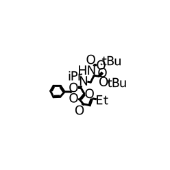 CCc1cc(=O)c(OCc2ccccc2)c(C(=O)N(CC(NC(=O)OC(C)(C)C)C(=O)OC(C)(C)C)C(C)C)o1